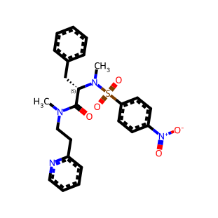 CN(CCc1ccccn1)C(=O)[C@H](Cc1ccccc1)N(C)S(=O)(=O)c1ccc([N+](=O)[O-])cc1